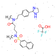 CN(CCc1ccc(C2=NCCN2)cc1)C(=O)CCCN(C)S(=O)(=O)c1ccc2ccccc2c1.O=C(O)C(F)(F)F